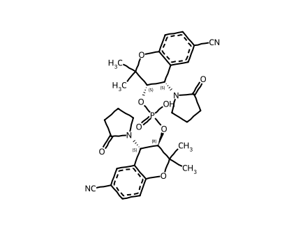 CC1(C)Oc2ccc(C#N)cc2[C@H](N2CCCC2=O)[C@H]1OP(=O)(O)O[C@H]1[C@@H](N2CCCC2=O)c2cc(C#N)ccc2OC1(C)C